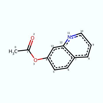 CC(=O)Oc1ccc2cccnc2c1